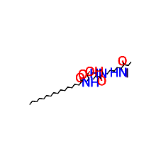 CCCCCCCCCCCCCCCC(=O)N[C@@H](CCC(=O)NCCCC[C@H](NI)C(=O)CC)C(=O)O